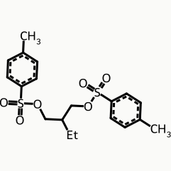 CCC(COS(=O)(=O)c1ccc(C)cc1)COS(=O)(=O)c1ccc(C)cc1